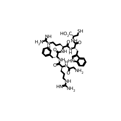 N=C(N)NCCC[C@H](NC(=O)CN)C(=O)N[C@H](Cc1ccccc1)C(=O)N[C@@H](CCCNC(=N)N)C(=O)N[C@@H](Cc1c[nH]c2ccccc12)C(=O)N[C@@H](CS)C(=O)O